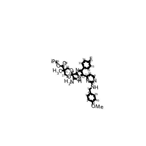 COc1ccc(CNc2nccc(-c3[nH]c(C4(C(N)=O)OCC(C)(C(=O)OC(C)C)CO4)nc3-c3ccc(F)cc3)n2)cc1